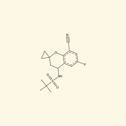 CC(C)(C)S(=O)(=O)NC1CC2(CC2)Oc2c(C#N)cc(F)cc21